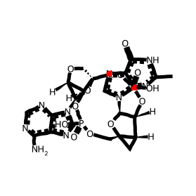 Cc1nc2c(ncn2[C@@H]2O[C@]34COP(=O)(O)O[C@H]5[C@H]6OC[C@]5(COP(=O)(O)O[C@@H]2[C@@H]3C4)O[C@H]6n2cnc3c(N)ncnc32)c(=O)[nH]1